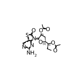 CC[C@H](OC(C)=O)[C@@H]1C[C@@H](OC(C)=O)[C@H](n2c(=O)sc3cnc(N)nc32)O1